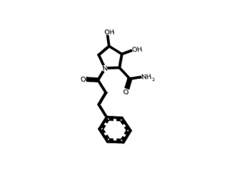 NC(=O)C1C(O)C(O)CN1C(=O)[CH]Cc1ccccc1